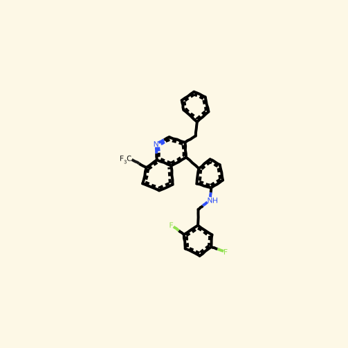 Fc1ccc(F)c(CNc2cccc(-c3c(Cc4ccccc4)cnc4c(C(F)(F)F)cccc34)c2)c1